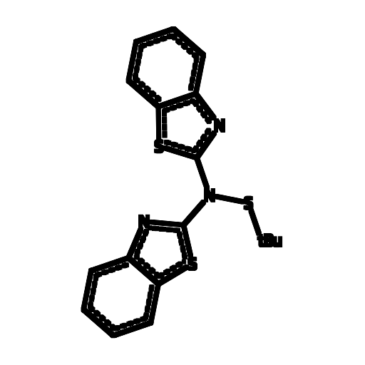 CC(C)(C)SN(c1nc2ccccc2s1)c1nc2ccccc2s1